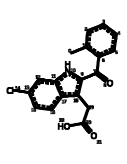 Cc1ccccc1C(=O)c1[nH]c2cc(Cl)ccc2c1CC(=O)O